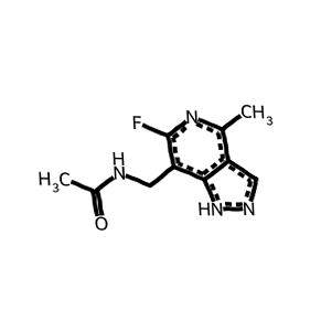 CC(=O)NCc1c(F)nc(C)c2cn[nH]c12